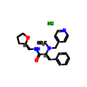 Cl.O=C(NC[C@H]1CCCO1)[C@H](Cc1ccccc1)N(Cc1ccncc1)C(=O)O